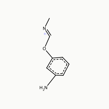 C/N=C/Oc1cccc(N)c1